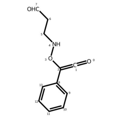 O=C=C(ONCCC=O)c1ccccc1